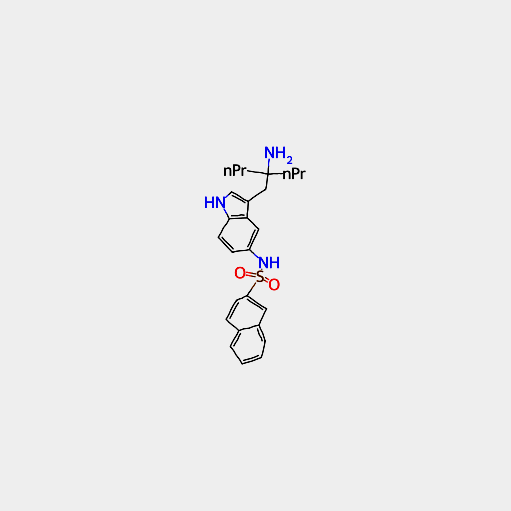 CCCC(N)(CCC)Cc1c[nH]c2ccc(NS(=O)(=O)c3ccc4ccccc4c3)cc12